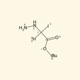 [2H]C(I)(NN)C(=O)OC(C)(C)C